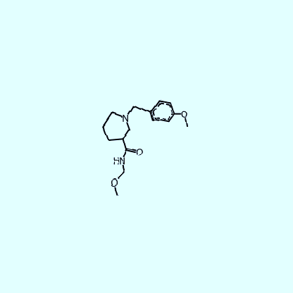 COCNC(=O)C1CCCN(Cc2ccc(OC)cc2)C1